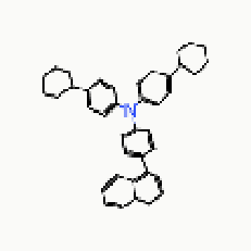 C1=CC2=C(c3ccc(N(C4=CC=C(C5CCCCC5)CC4)c4ccc(C5CCCCC5)cc4)cc3)C=CCC2C=C1